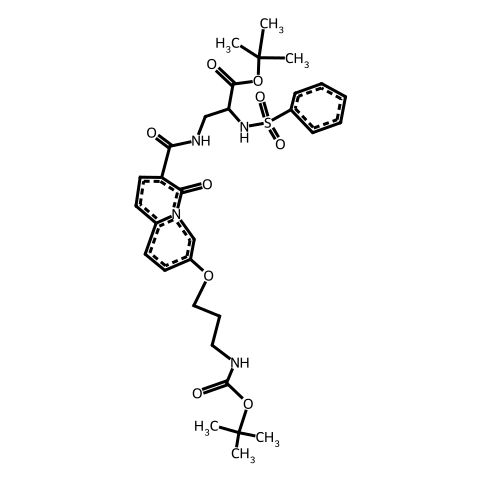 CC(C)(C)OC(=O)NCCCOc1ccc2ccc(C(=O)NCC(NS(=O)(=O)c3ccccc3)C(=O)OC(C)(C)C)c(=O)n2c1